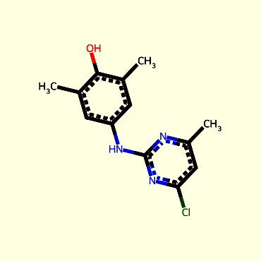 Cc1cc(Cl)nc(Nc2cc(C)c(O)c(C)c2)n1